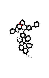 C=CC1=C(c2ccc(N(c3ccc(-c4ccccc4)cc3-c3ccccc3)c3cccc4c3oc3ccccc34)cc2)C(c2ccccc2)(c2ccccc2)c2c1ccc1cc(C)ccc21